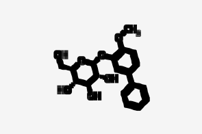 COc1ccc(-c2ccccc2)cc1O[C@@H]1O[C@H](CO)[C@@H](O)[C@H](O)[C@H]1O